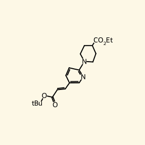 CCOC(=O)C1CCN(c2ccc(/C=C/C(=O)OC(C)(C)C)cn2)CC1